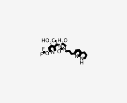 O.O=C(O)C[C@@H](c1ccc(OC(F)F)nc1)N1CCN(CCCc2ccc3c(n2)NCCC3)C1=O